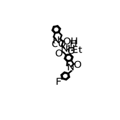 CCOc1cc2c(cc1C(=O)NC[C@@H](O)C1Cc3ccccc3CN1C(=O)O)CN(Cc1ccc(F)cc1)C2=O